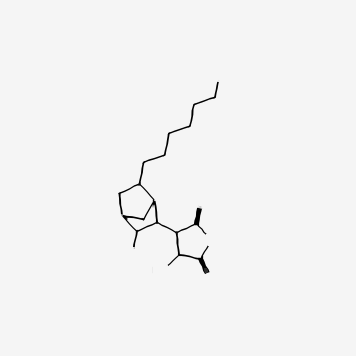 CCCCCCCC1CC2CC1C(C1C(=O)OC(=O)C1C)C2C